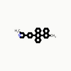 Cc1cc(-c2ccc(-c3c4ccccc4c(-c4ccc(C)c5ccccc45)c4ccccc34)cc2)ccn1